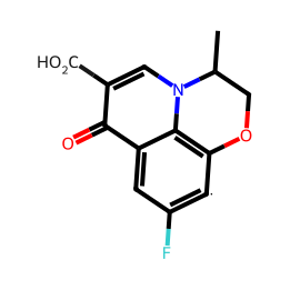 CC1COc2[c]c(F)cc3c(=O)c(C(=O)O)cn1c23